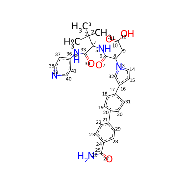 CC(C)(C)C(NC(=O)C(CC(=O)O)n1ccc(-c2ccc(-c3ccc(C(N)=O)cc3)cc2)c1)C(=O)Nc1ccncc1